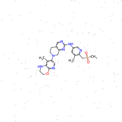 Cc1cc(Nc2ncc3c(n2)CN(c2cnc4c(c2C)NCCO4)CC3)cnc1CS(C)(=O)=O